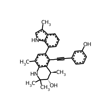 Cc1cc(-c2cccc3c(C)c[nH]c23)c(C#Cc2cccc(O)c2)c2c1NC(C)(C)[C@@H](O)[C@@H]2C